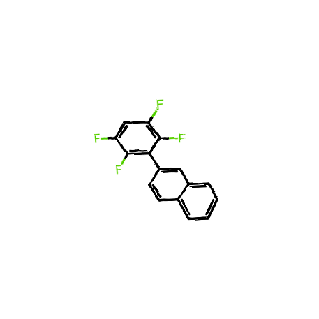 Fc1cc(F)c(F)c(-c2ccc3ccccc3c2)c1F